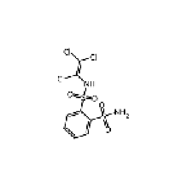 NS(=O)(=O)c1ccccc1S(=O)(=O)NC(Cl)=C(Cl)Cl